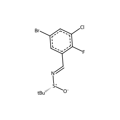 CC(C)(C)[S@@+]([O-])/N=C/c1cc(Br)cc(Cl)c1F